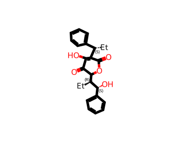 CC[C@H](C1=C(O)C(=O)C([C@H](CC)[C@H](O)c2ccccc2)OC1=O)c1ccccc1